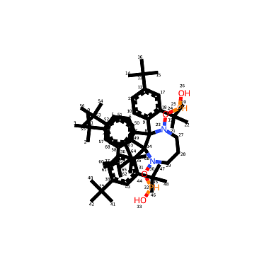 CC(C)(C)c1ccc(C2(c3ccc(C(C)(C)C)cc3C(C)(C)C)N(OPO)CCCN(OPO)C2(c2ccc(C(C)(C)C)cc2C(C)(C)C)c2ccc(C(C)(C)C)cc2C(C)(C)C)c(C(C)(C)C)c1